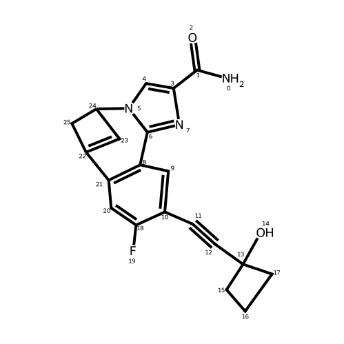 NC(=O)c1cn2c(n1)-c1cc(C#CC3(O)CCC3)c(F)cc1C1=CC2C1